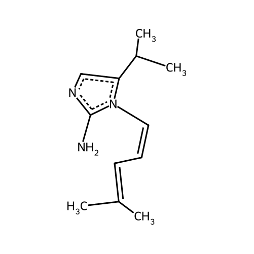 CC(C)=C/C=C\n1c(C(C)C)cnc1N